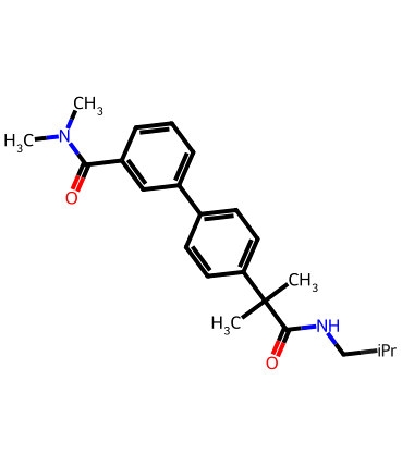 CC(C)CNC(=O)C(C)(C)c1ccc(-c2cccc(C(=O)N(C)C)c2)cc1